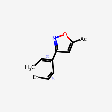 C/C=C(\C=C/CC)c1cc(C(C)=O)on1